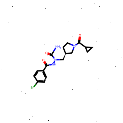 NC(=O)N(C[C@H]1CCN(C(=O)C2CC2)C1)NC(=O)c1ccc(Br)cc1